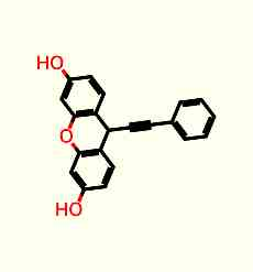 Oc1ccc2c(c1)Oc1cc(O)ccc1C2C#Cc1ccccc1